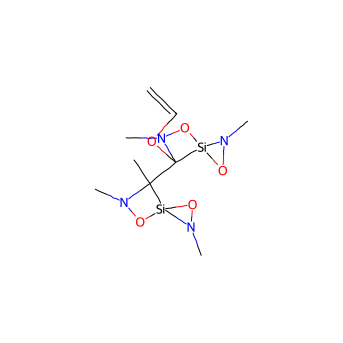 C=COC1(C2(C)N(C)O[Si]23ON3C)N(C)O[Si]12ON2C